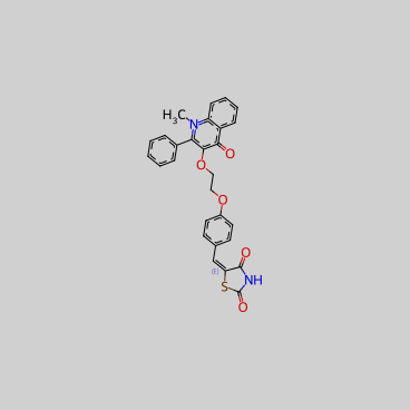 Cn1c(-c2ccccc2)c(OCCOc2ccc(/C=C3/SC(=O)NC3=O)cc2)c(=O)c2ccccc21